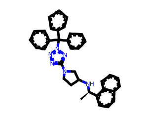 C[C@@H](NC1CCN(c2nnn(C(c3ccccc3)(c3ccccc3)c3ccccc3)n2)C1)c1cccc2ccccc12